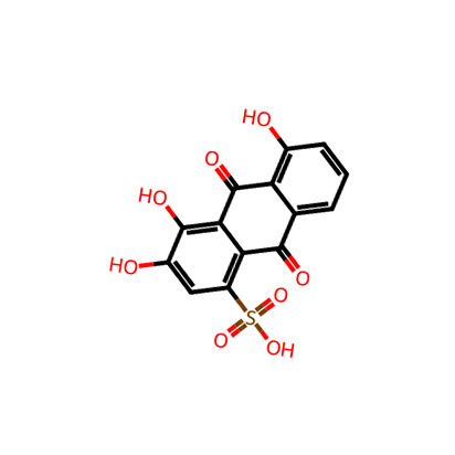 O=C1c2cccc(O)c2C(=O)c2c(O)c(O)cc(S(=O)(=O)O)c21